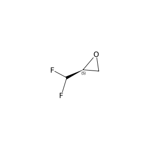 FC(F)[C@@H]1CO1